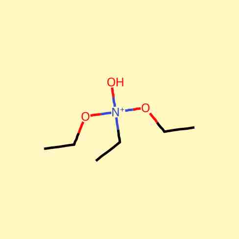 CCO[N+](O)(CC)OCC